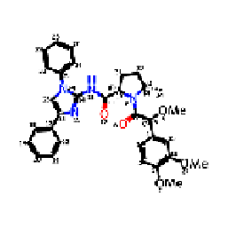 COc1ccc([C@H](OC)C(=O)N2[C@@H](C(=O)Nc3nc(-c4ccccc4)cn3-c3ccccc3)CC[C@@H]2C)cc1OC